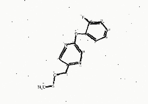 CSOCc1cnc(Oc2ccccc2F)cn1